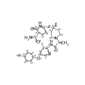 C[C@@H](C(=O)Nc1ccc(Oc2ccc(F)cc2)cn1)N1CCC(F)(F)[C@@H](c2c[nH]c(=O)c([C@H](N)C(F)(F)F)c2)C1